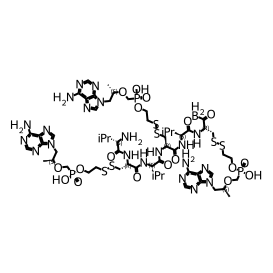 BC(=O)[C@H](CSSCCOP(=O)(O)CO[C@@H](C)Cn1cnc2c(N)ncnc21)NC(=O)[C@@H](NC(=O)[C@H](CSSCCOP(=O)(O)CO[C@@H](C)Cn1cnc2c(N)ncnc21)NC(=O)[C@@H](NC(=O)[C@H](CSSCCOP(=O)(O)CO[C@@H](C)Cn1cnc2c(N)ncnc21)NC(=O)[C@@H](N)C(C)C)C(C)C)C(C)C